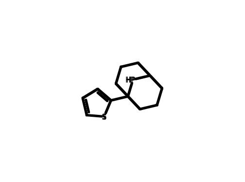 c1csc(C23CCCC(CCC2)P3)c1